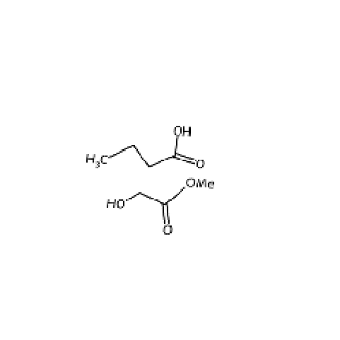 CCCC(=O)O.COC(=O)CO